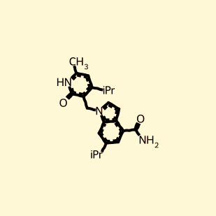 Cc1cc(C(C)C)c(Cn2ccc3c(C(N)=O)cc(C(C)C)cc32)c(=O)[nH]1